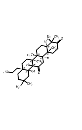 CC1(C)CC[C@]2(CCO)CC[C@]3(C)[C@H](C(=O)C[C@@H]4[C@@]5(C)CCC(=O)C(C)(C)[C@@H]5CC[C@]43C)[C@@H]2C1